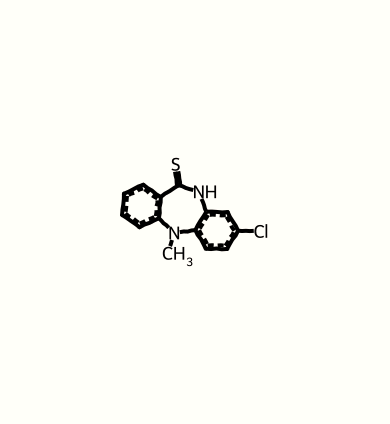 CN1c2ccc(Cl)cc2NC(=S)c2ccccc21